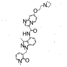 Cc1nn(Cc2cccn(C)c2=O)c2cccc(NC(=O)c3cnc4cc(OCCN5CCC5)ccn34)c12